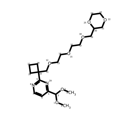 COC(OC)c1ccnc(C2(COCCOCCOCC3COCCO3)CCC2)n1